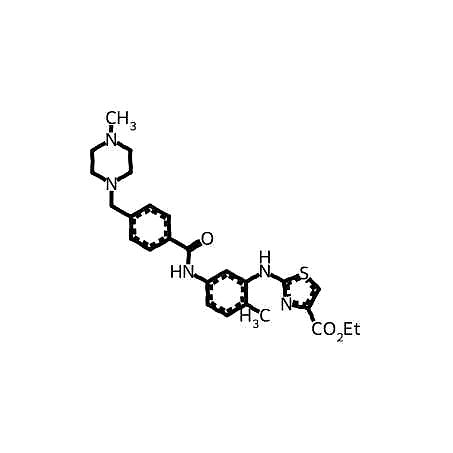 CCOC(=O)c1csc(Nc2cc(NC(=O)c3ccc(CN4CCN(C)CC4)cc3)ccc2C)n1